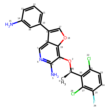 C[C@@H](Oc1c(N)ncc2c(-c3cccc(N)c3)coc12)c1c(Cl)ccc(F)c1Cl